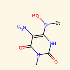 CCN(O)c1[nH]c(=O)n(C)c(=O)c1N